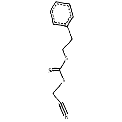 N#CCSC(=S)SCCc1ccccc1